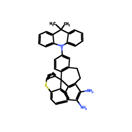 CC1(C)c2ccccc2N(c2ccc3c(c2)CCc2c(ccc(N)c2N)C32c3ccccc3Sc3ccccc32)c2ccccc21